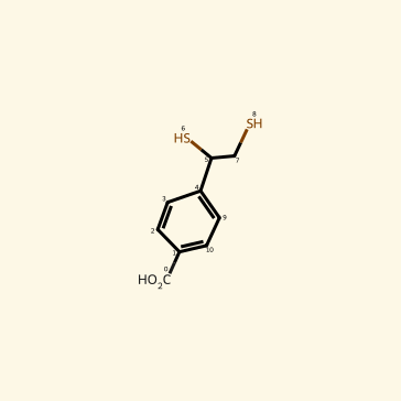 O=C(O)c1ccc(C(S)CS)cc1